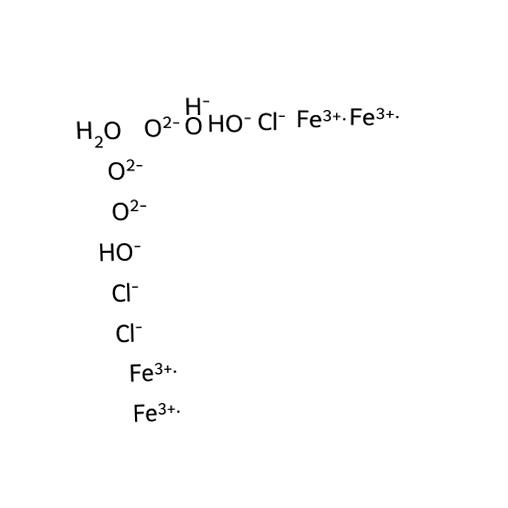 O.[Cl-].[Cl-].[Cl-].[Fe+3].[Fe+3].[Fe+3].[Fe+3].[O-2].[O-2].[O-2].[OH-].[OH-].[OH-]